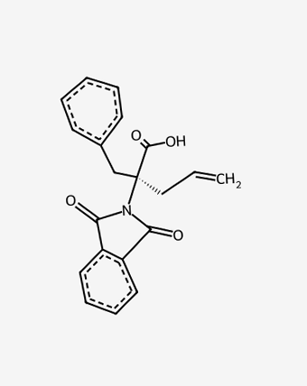 C=CC[C@](Cc1ccccc1)(C(=O)O)N1C(=O)c2ccccc2C1=O